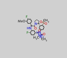 COc1cc([C@H](Nc2cc(C(N)=O)ccc2F)C(=O)N2CCC[C@@H]2c2cc(NC(=O)N(C)C)ccc2S(C)(=O)=O)ccc1F